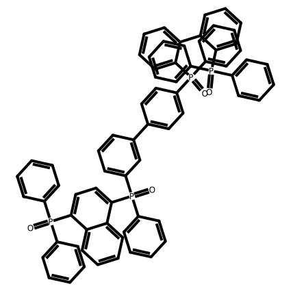 O=P(c1ccccc1)(c1ccccc1)c1ccccc1-c1ccccc1P(=O)(c1ccccc1)c1ccc(-c2cccc(P(=O)(c3ccccc3)c3ccc(P(=O)(c4ccccc4)c4ccccc4)c4ccccc34)c2)cc1